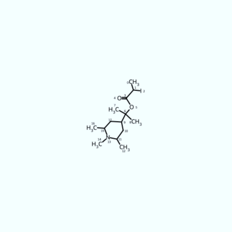 CC(I)C(=O)OC(C)(C)C1CC(C)N(C)C(C)C1